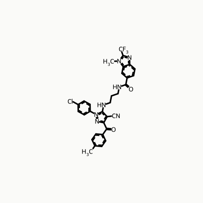 Cc1ccc(C(=O)c2nn(-c3ccc(Cl)cc3)c(NCCCNC(=O)c3ccc4nc(C(F)(F)F)n(C)c4c3)c2C#N)cc1